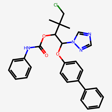 CC(C)(CCl)C(OC(=O)Nc1ccccc1)C(Oc1ccc(-c2ccccc2)cc1)n1cncn1